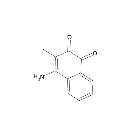 CC1=C(N)c2ccccc2C(=O)C1=O